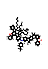 CCCCCCCC1(CCCCCCC)c2ccccc2-c2c1c1c(c3c2oc2ccccc23)-c2ccc(N(c3ccc(C(C)(C)C)cc3)c3ccc4c(c3)C(C)(C)c3cc5c(cc3-4)C(C)(C)c3ccc4oc6ccccc6c4c3-5)cc2C1(CCCCCCC)CCCCCCC